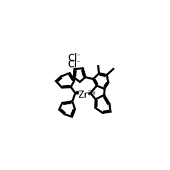 Cc1cc2c(c(C3=CC=CC3)c1C)[CH]([Zr+2]=[C](c1ccccc1)c1ccccc1)c1ccccc1-2.[Cl-].[Cl-]